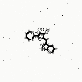 O=C(O)C1=C(C2=CC=CC=CN2)O/C(=C\c2c[nH]c3ncccc23)C1=O